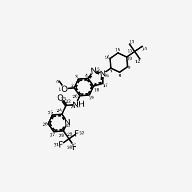 COc1cc2nn(C3CCC(C(C)(C)C)CC3)cc2cc1NC(=O)c1cccc(C(F)(F)F)n1